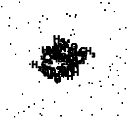 CNC(=O)c1csc(NC(=O)Nc2ccc(C)cc2OCC(C)C)n1.Cc1ccc(NC(=O)Nc2nc(C(=O)N3CCOCC3)cs2)c(OCC(C)C)c1